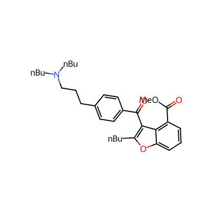 CCCCc1oc2cccc(C(=O)OC)c2c1C(=O)c1ccc(CCCN(CCCC)CCCC)cc1